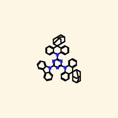 c1ccc2c(c1)N(c1nc(N3c4ccccc4C4(c5ccccc53)C3CC5CC(C3)CC4C5)nc(-n3c4ccccc4c4ccccc43)n1)c1ccccc1C21C2CC3CC(C2)CC1C3